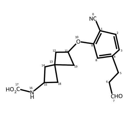 N#Cc1ccc(CCC=O)cc1OC1CC2(CC(NC(=O)O)C2)C1